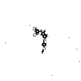 C=CCOc1ccc(COc2ccc3c(c2)C/C(=C\c2cc(Cl)cc(Cl)c2)C3=C)cc1